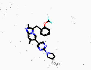 Cc1cc2nc(C)c(Cc3ccccc3OC(F)F)n2cc1-c1cnc(N2CC[C@H](C(=O)O)C2)nc1